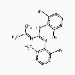 CC(C)=N/C(=N\c1c(C)cccc1C(C)C)Nc1c(C(C)C)cccc1C(C)C